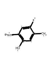 CCCC(C)c1cc(F)c(C)cc1O